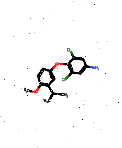 COc1ccc(Oc2c(Cl)cc(N)cc2Cl)cc1C(C)C